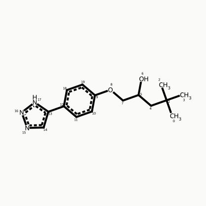 CC(C)(C)CC(O)COc1ccc(-c2cnn[nH]2)cc1